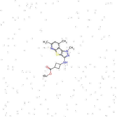 Cc1cc(C)c2c(n1)sc1c(NC3CC(C(=O)OC(C)(C)C)C3)nn(C)c12